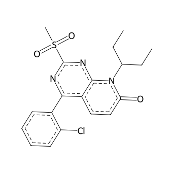 CCC(CC)n1c(=O)ccc2c(-c3ccccc3Cl)nc(S(C)(=O)=O)nc21